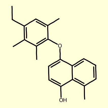 CCc1cc(C)c(Oc2ccc(O)c3c(C)cccc23)c(C)c1C